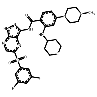 CN1CCN(c2ccc(C(=O)Nc3n[nH]c4ncc(S(=O)(=O)c5cc(F)cc(F)c5)nc34)c(NC3CCOCC3)c2)CC1